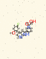 COc1ccc(F)cc1-c1ccnc2[nH]c(C3=CCCN(C(=O)CO)C3)cc12